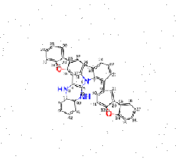 C1=CC2Nc3c(n4c5c(-c6ccc7oc8ccccc8c7c6)cccc5c5cc6c7ccccc7oc6c3c54)NC2C=C1